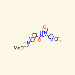 COC1CCN(c2ccc3c(C(=O)NCC(c4cnc(C(F)(F)F)nc4)N4CCOCC4)cccc3n2)CC1